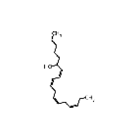 CC/C=C\C/C=C\C/C=C\C=C/C(O)CCCCC